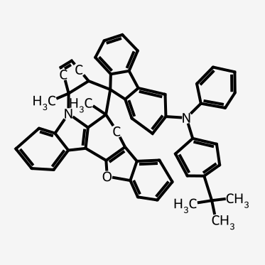 CC(C)(C)c1ccc(N(c2ccccc2)c2ccc3c(c2)-c2ccccc2C32C3CC=CCC3(C)n3c4c(c5ccccc53)-c3oc5ccccc5c3CC42C)cc1